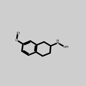 CCCNC1CCc2ccc(OCC)cc2C1